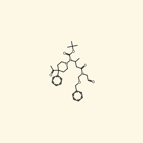 CC(=O)C1(c2ccccc2)CCN(N(C(=O)OC(C)(C)C)C(C)CC(=O)N(CC=O)COCc2ccccc2)CC1